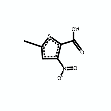 Cc1cc([N+](=O)[O-])c(C(=O)O)s1